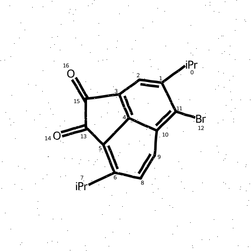 CC(C)c1cc2c3c(c(C(C)C)ccc3c1Br)C(=O)C2=O